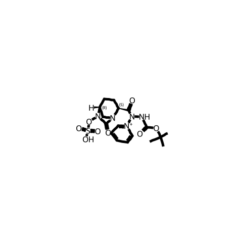 CC(C)(C)OC(=O)NN(C(=O)[C@@H]1CC[C@@H]2CN1C(=O)N2OS(=O)(=O)O)[n+]1ccccc1